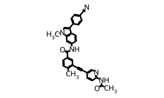 CC(=O)Nc1ccc(C#Cc2cc(C(=O)Nc3ccc4c(-c5ccc(C#N)cc5)cn(C)c4c3)ccc2C)cn1